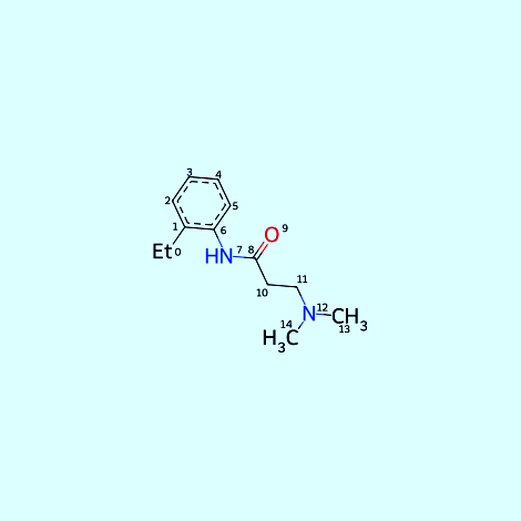 CCc1ccccc1NC(=O)CCN(C)C